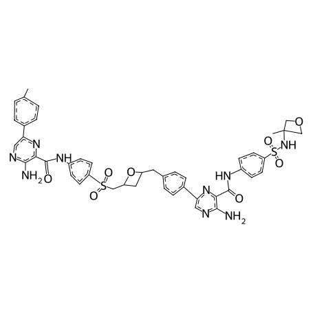 Cc1ccc(-c2cnc(N)c(C(=O)Nc3ccc(S(=O)(=O)CC4CC(Cc5ccc(-c6cnc(N)c(C(=O)Nc7ccc(S(=O)(=O)NC8(C)COC8)cc7)n6)cc5)O4)cc3)n2)cc1